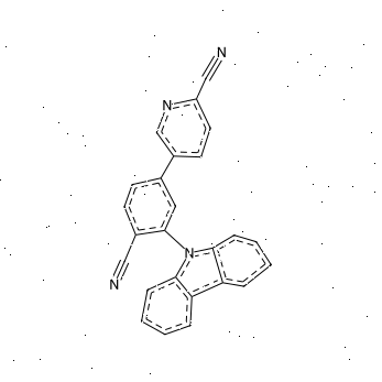 N#Cc1ccc(-c2ccc(C#N)c(-n3c4ccccc4c4ccccc43)c2)cn1